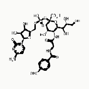 Nc1ccn([C@@H]2O[C@H](COP(=O)(O)O[C@@]3(C(=O)O)C[C@@H](O)[C@@H](NC(=O)CNC(=O)c4ccc(C=O)cc4)C([C@H](O)[C@H](O)CO)O3)C(O)[C@@H]2O)c(=O)n1